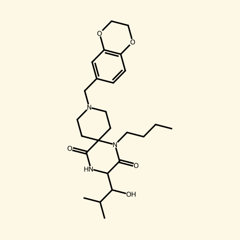 CCCCN1C(=O)C(C(O)C(C)C)NC(=O)C12CCN(Cc1ccc3c(c1)OCCO3)CC2